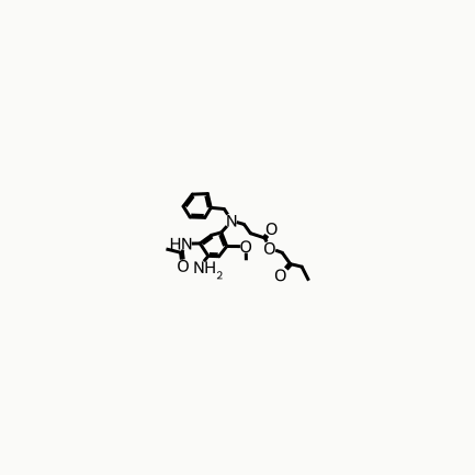 CCC(=O)COC(=O)CCN(Cc1ccccc1)c1cc(NC(C)=O)c(N)cc1OC